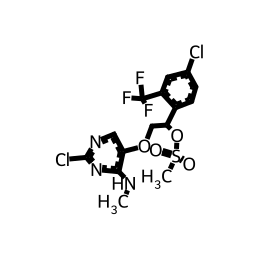 CNc1nc(Cl)ncc1OCC(OS(C)(=O)=O)c1ccc(Cl)cc1C(F)(F)F